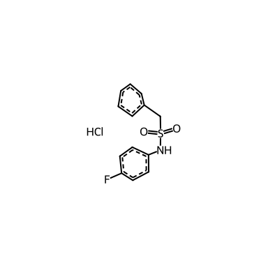 Cl.O=S(=O)(Cc1ccccc1)Nc1ccc(F)cc1